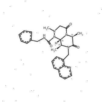 C[C@H]1[C@H]2N(C(=O)CN(C)N2C(=O)NCc2ccccc2)[C@@H](C)C(=O)N1Cc1cccc2cccnc12